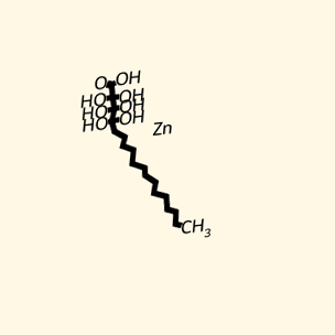 CCCCCCCCCCCCCCC(O)(O)C(O)(O)C(O)(O)C(=O)O.[Zn]